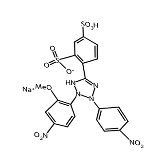 COc1cc([N+](=O)[O-])ccc1N1NC(c2ccc(S(=O)(=O)O)cc2S(=O)(=O)[O-])=NN1c1ccc([N+](=O)[O-])cc1.[Na+]